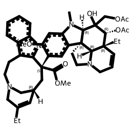 CCC1=C[C@@H]2CN(CCc3c([nH]c4ccccc34)[C@@](C(=O)OC)(c3cc4c(cc3OC)N(C)[C@H]3C(O)(COC(C)=O)[C@H](OC(C)=O)[C@]5(CC)C=CCN6CC[C@]43[C@@H]65)C2)C1